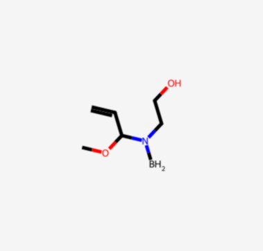 BN(CCO)C(C=C)OC